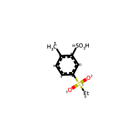 CCS(=O)(=O)c1ccc(C)c(S(=O)(=O)O)c1